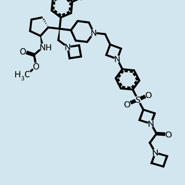 COC(=O)N[C@H]1CCC[C@@H]1[C@](CN1CCC1)(c1cccc(F)c1)C1CCN(CC2CN(c3ccc(S(=O)(=O)C4CN(C(=O)CN5CCC5)C4)cc3)C2)CC1